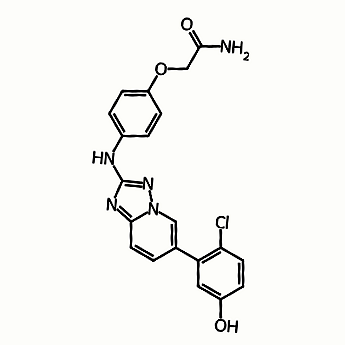 NC(=O)COc1ccc(Nc2nc3ccc(-c4cc(O)ccc4Cl)cn3n2)cc1